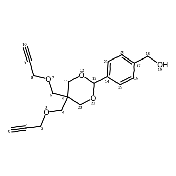 C#CCOCC1(COCC#C)COC(c2ccc(CO)cc2)OC1